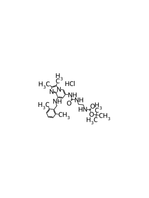 Cc1cccc(C)c1CNc1cc(NC(=O)NCCNC(=O)OC(C)(C)C)cn2c(C)c(C)nc12.Cl